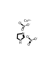 C1=NCCN1.O=[N+]([O-])[O-].O=[N+]([O-])[O-].[Co+2]